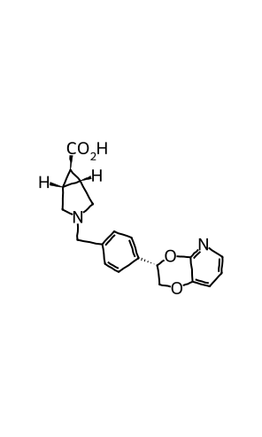 O=C(O)[C@H]1[C@@H]2CN(Cc3ccc([C@H]4COc5cccnc5O4)cc3)C[C@@H]21